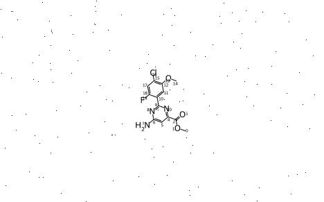 COC(=O)c1cc(N)nc(-c2cc(OC)c(Cl)cc2F)n1